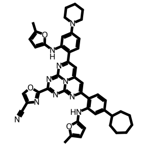 Cc1ccc(Nc2cc(C3CCCCCC3)ccc2C2=CC3=CC(c4ccc(N5CCCCC5)cc4Nc4ccc(C)o4)=NC4=NC(c5nc(C#N)co5)=NC(=N2)N34)o1